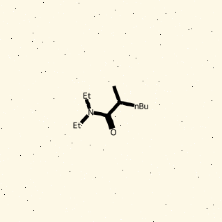 CCCCC(C)C(=O)N(CC)CC